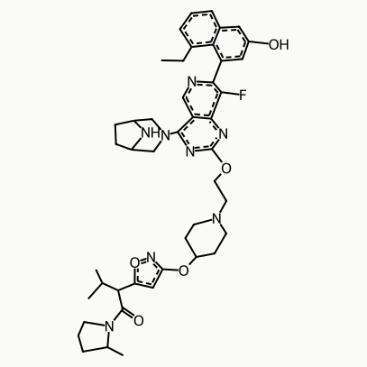 CCc1cccc2cc(O)cc(-c3ncc4c(N5CC6CCC(C5)N6)nc(OCCN5CCC(Oc6cc(C(C(=O)N7CCCC7C)C(C)C)on6)CC5)nc4c3F)c12